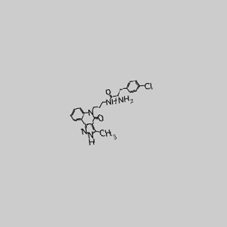 Cc1[nH]nc2c1c(=O)n(CCCNC(=O)C(N)Cc1ccc(Cl)cc1)c1ccccc21